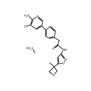 CC1(c2cc(NC(=O)Cc3ccc(-c4cnc(N)c(Cl)c4)cc3)no2)COC1.CS(=O)(=O)O